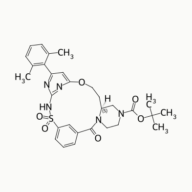 Cc1cccc(C)c1-c1cc2nc(n1)NS(=O)(=O)c1cccc(c1)C(=O)N1CCN(C(=O)OC(C)(C)C)C[C@@H]1CCO2